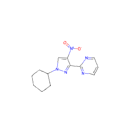 O=[N+]([O-])c1cn(C2CCCCC2)nc1-c1ncccn1